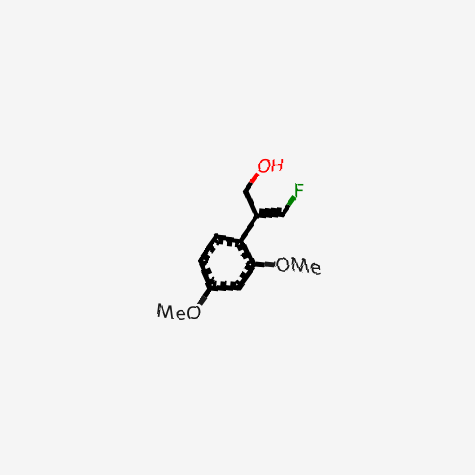 COc1ccc(C(=CF)CO)c(OC)c1